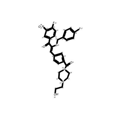 O=C(C(=Cc1ccc(C(=O)N2CCN(CCO)CC2)cc1)SCc1ccc(F)cc1)c1ccc(F)c([N+](=O)[O-])c1